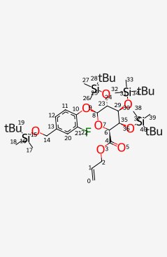 C=CCOC(=O)[C@H]1O[C@@H](Oc2ccc(CO[Si](C)(C)C(C)(C)C)cc2F)[C@H](O[Si](C)(C)C(C)(C)C)[C@@H](O[Si](C)(C)C(C)(C)C)[C@H]1O[Si](C)(C)C(C)(C)C